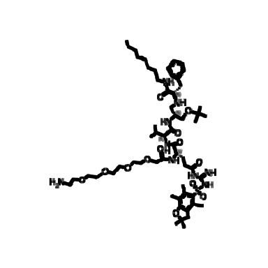 CCCCCCCCNC(=O)[C@H](Cc1ccccc1)NC[C@@H](COC(C)(C)C)NC(=O)[C@@H](NC(=O)[C@H](CCC(=O)NC(=N)NS(=O)(=O)c1c(C)c(C)c2c(c1C)CC(C)(C)O2)NC(=O)COCCOCCOCCOCCN)C(C)C